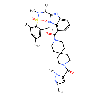 COc1cc(C)c(S(=O)(=O)N(C)C(C)c2nc3cccc(C(=O)N4CCC5(CC4)CCN(C(=O)c4cc(C(C)(C)C)nn4C)CC5)c3[nH]2)c(C)c1